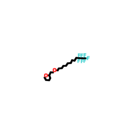 FC(F)(F)C(F)(F)C(F)(F)CCCCCCCCCCOCCC1CCCCO1